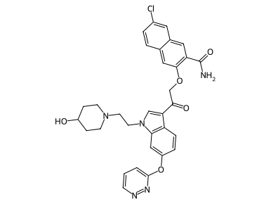 NC(=O)c1cc2cc(Cl)ccc2cc1OCC(=O)c1cn(CCN2CCC(O)CC2)c2cc(Oc3cccnn3)ccc12